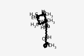 CCC1=C(C)c2cc3[nH]c(cc4nc(c(C)c5cc(C)c(cc1n2)[nH]5)[C@@H](CCC(=O)NCCCCCCNC(=O)CCc1cn(C)c2ccccc12)[C@@H]4C)c(C)c3CC